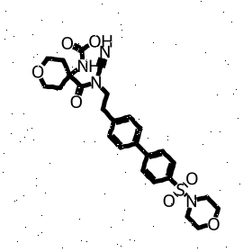 N#CN(CCc1ccc(-c2ccc(S(=O)(=O)N3CCOCC3)cc2)cc1)C(=O)C1(NC(=O)O)CCOCC1